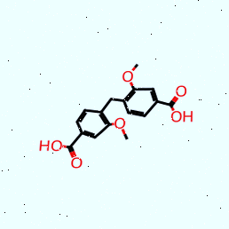 COc1cc(C(=O)O)ccc1Cc1ccc(C(=O)O)cc1OC